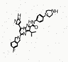 CC(C)c1c(C(=O)Nc2ccc(N3CCNCC3)cc2)nn2c(-c3cn[nH]c3)cc(N3Cc4ccc(F)cc4C3)nc12